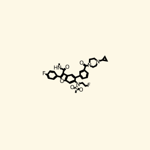 CNC(=O)c1c(-c2ccc(F)cc2)oc2cc(N(CCF)S(C)(=O)=O)c(-c3cccc(C(=O)N4CCN(C5CC5)CC4)c3)cc12